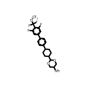 CCCC1COC(C2CCC(c3ccc(-c4cc(F)c(C(F)(F)OC(F)(F)F)c(F)c4)cc3)CC2)OC1